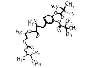 CC(C)C(C)OC(=O)OC[C@H](C)OC(=O)[C@@H](N)Cc1ccc(OC(=O)C(C)(C)C)c(OC(=O)C(C)(C)C)c1